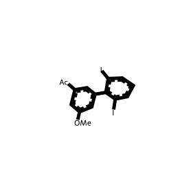 COc1cc(C(C)=O)cc(-c2c(I)cccc2I)c1